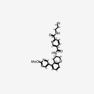 COc1ncc(-c2cccc3c2C[C@H](NC(=O)c2ccc(C(=O)NCCC(C)C)nc2)CO3)cn1